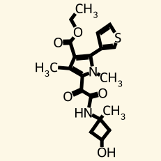 CCOC(=O)c1c(C)c(C(=O)C(=O)NC2(C)CC(O)C2)n(C)c1-c1ccsc1